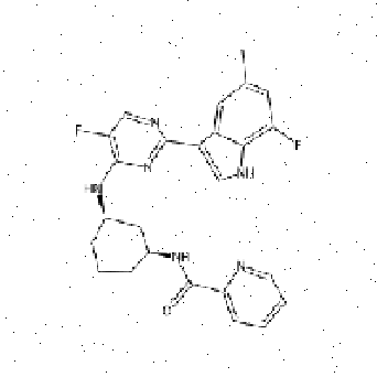 Cc1cc(F)c2[nH]cc(-c3ncc(F)c(N[C@@H]4CCC[C@H](NC(=O)c5ccccn5)C4)n3)c2c1